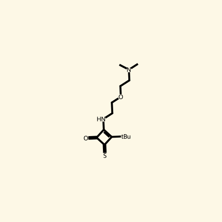 CN(C)CCOCCNc1c(C(C)(C)C)c(=S)c1=O